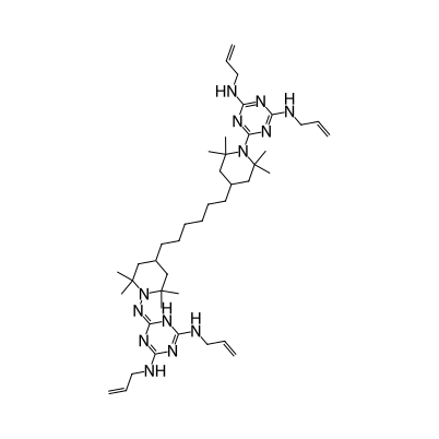 C=CCNc1nc(NCC=C)nc(N2C(C)(C)CC(CCCCCCC3CC(C)(C)N(N=c4nc(NCC=C)nc(NCC=C)[nH]4)C(C)(C)C3)CC2(C)C)n1